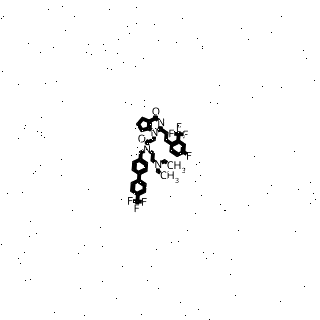 CCN(CC)CCN(Cc1ccc(-c2ccc(C(F)(F)F)cc2)cc1)C(=O)Cn1c(CCc2ccc(F)cc2C(F)(F)F)nc(=O)c2c1CCC2